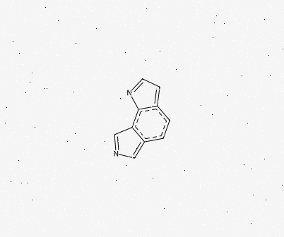 C1=NC=c2ccc3c(c21)N=CC=3